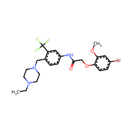 CCN1CCN(Cc2ccc(NC(=O)COc3ccc(Br)cc3OC)cc2C(F)(F)F)CC1